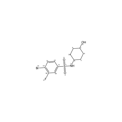 O=S(=O)(NC1CCC(O)CC1)c1ccc(Br)c(F)c1